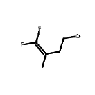 CC(CC[O])=C(F)F